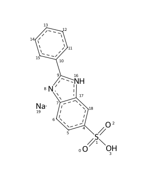 O=S(=O)(O)c1ccc2nc(-c3ccccc3)[nH]c2c1.[Na]